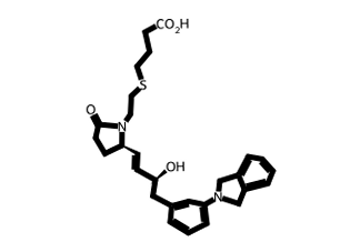 O=C(O)CCCSCCN1C(=O)CC[C@@H]1/C=C/[C@@H](O)Cc1cccc(N2Cc3ccccc3C2)c1